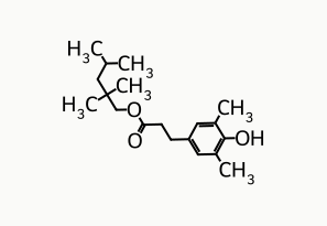 Cc1cc(CCC(=O)OCC(C)(C)CC(C)C)cc(C)c1O